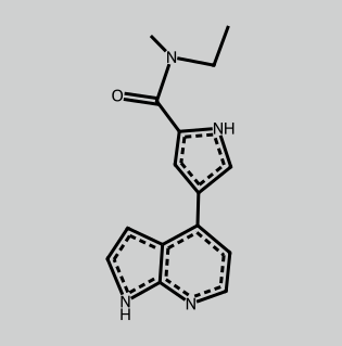 CCN(C)C(=O)c1cc(-c2ccnc3[nH]ccc23)c[nH]1